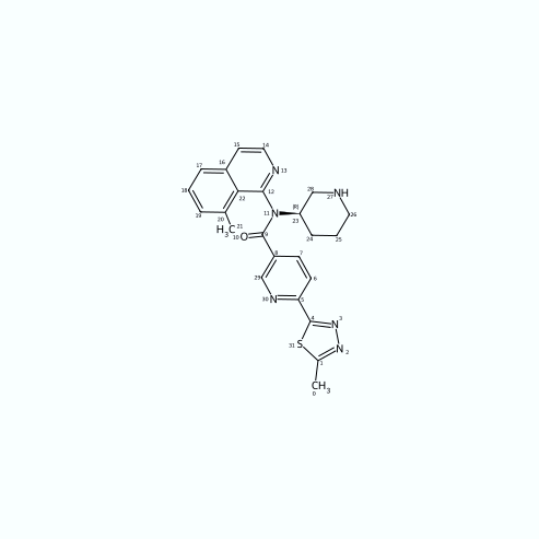 Cc1nnc(-c2ccc(C(=O)N(c3nccc4cccc(C)c34)[C@@H]3CCCNC3)cn2)s1